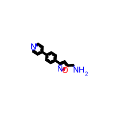 NCc1cc(-c2ccc(-c3ccncc3)cc2)no1